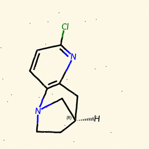 Clc1ccc2c(n1)C[C@H]1CCN2C1